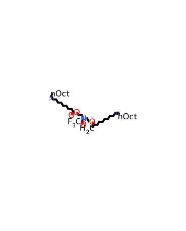 C=C(CCCCCCC/C=C\CCCCCCCC)OCCN(CCOC(=O)CCCCCCC/C=C\CCCCCCCC)C(=O)C(F)(F)F